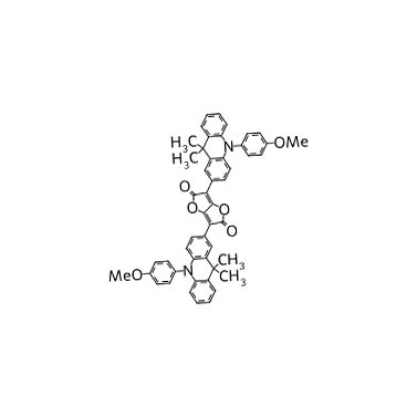 COc1ccc(N2c3ccccc3C(C)(C)c3cc(C4=C5OC(=O)C(c6ccc7c(c6)C(C)(C)c6ccccc6N7c6ccc(OC)cc6)=C5OC4=O)ccc32)cc1